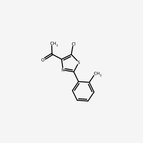 CC(=O)c1nc(-c2ccccc2C)sc1Cl